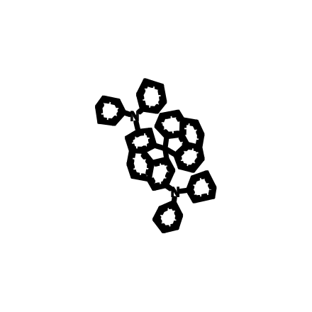 c1ccc(N(c2ccccc2)c2cc3c4c(ccc5cc(N(c6ccccc6)c6ccccc6)cc(c54)C34c3cccc5ccc6cccc4c6c35)c2)cc1